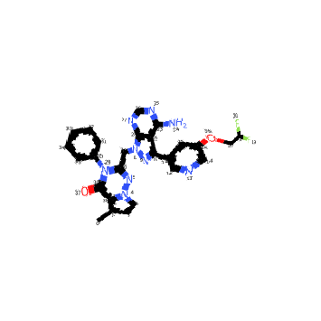 Cc1ccn2nc(Cn3nc(-c4cncc(OCC(F)F)c4)c4c(N)ncnc43)n(-c3ccccc3)c(=O)c12